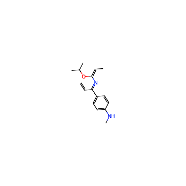 C=C/C(=N\C(=C/C)OC(C)C)c1ccc(NC)cc1